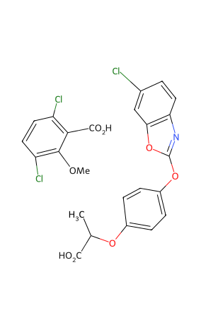 CC(Oc1ccc(Oc2nc3ccc(Cl)cc3o2)cc1)C(=O)O.COc1c(Cl)ccc(Cl)c1C(=O)O